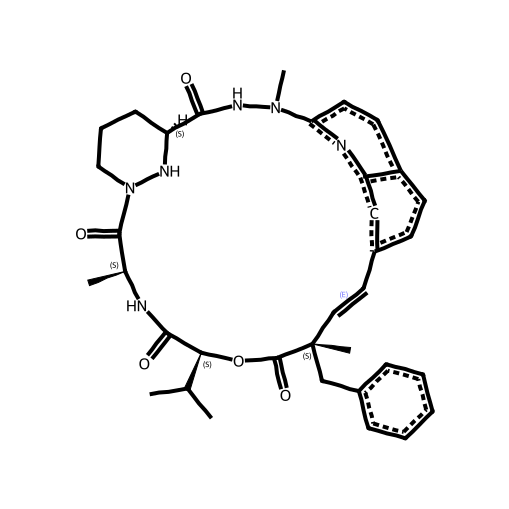 CC(C)[C@@H]1OC(=O)[C@@](C)(Cc2ccccc2)/C=C/c2ccc3ccc(nc3c2)N(C)NC(=O)[C@@H]2CCCN(N2)C(=O)[C@H](C)NC1=O